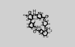 Cc1c(NC(=O)c2cc3c(s2)CCCC3)cccc1-c1cc(Nc2ccc(C(=O)N3CCC(N)CC3)cn2)c(=O)n(C)c1